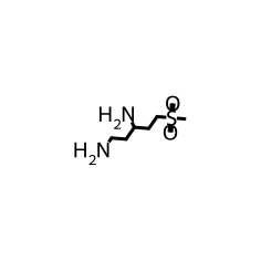 CS(=O)(=O)CCC(N)CCN